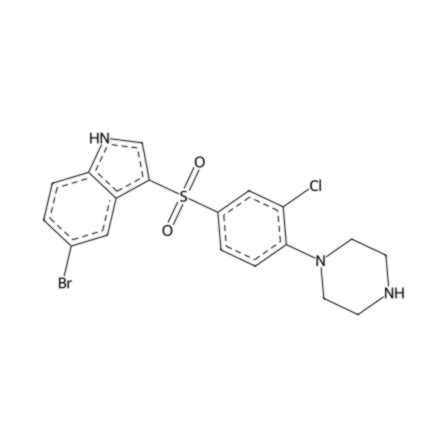 O=S(=O)(c1ccc(N2CCNCC2)c(Cl)c1)c1c[nH]c2ccc(Br)cc12